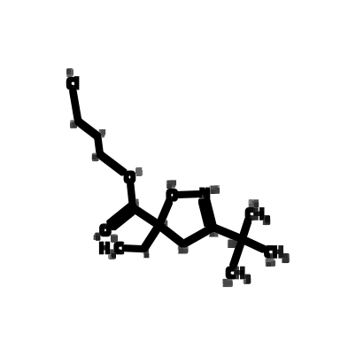 CCC1(C(=O)OCCCCl)CC(C(C)(C)C)=NO1